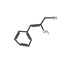 C/C(=C\c1ccccc1)C[NH]